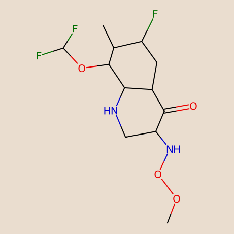 COONC1CNC2C(CC(F)C(C)C2OC(F)F)C1=O